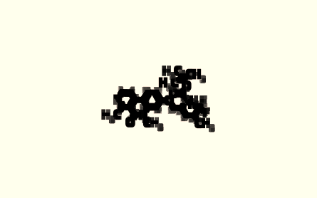 Cc1nccc2c1c(=O)n(C)c1cc(OCC(CC(C)C(F)(F)F)NC(=O)OC(C)(C)C)ccc21